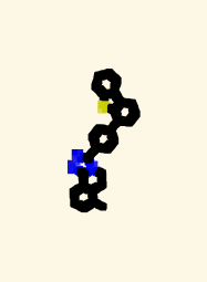 Cc1cccc2c1ccn1c(-c3ccc(-c4cccc5c4sc4ccccc45)cc3)nnc21